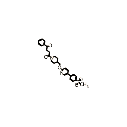 CS(=O)(=O)c1ccc(-c2ccc(OCC3CCN(C(=O)CCC(=O)c4ccccc4)CC3)nc2)cc1